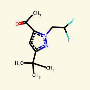 CC(=O)c1cc(C(C)(C)C)nn1CC(F)F